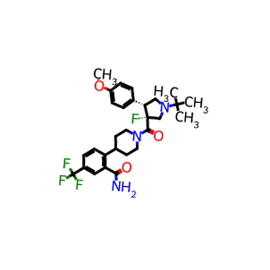 COc1ccc([C@@H]2CN(C(C)(C)C)C[C@@]2(F)C(=O)N2CCC(c3ccc(C(F)(F)F)cc3C(N)=O)CC2)cc1